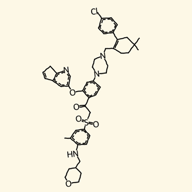 Cc1cc(S(=O)(=O)CC(=O)c2ccc(N3CCN(CC4=C(c5ccc(Cl)cc5)CC(C)(C)CC4)CC3)cc2Oc2cnc3c(c2)C=CC3)ccc1NCC1CCOCC1